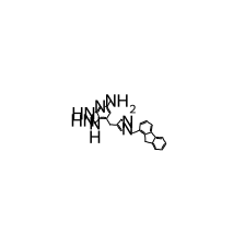 Nc1cc(Cc2cnn(Cc3cccc4c3Cc3ccccc3-4)c2)c2c(n1)NNN2